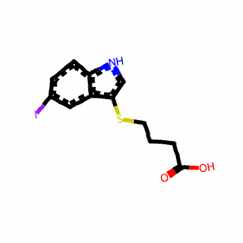 O=C(O)CCCSc1c[nH]c2ccc(I)cc12